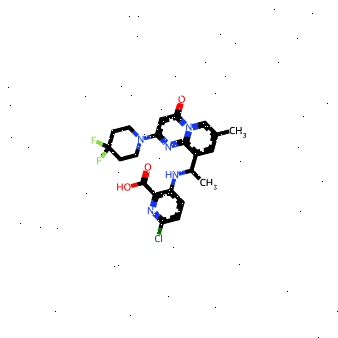 Cc1cc(C(C)Nc2ccc(Cl)nc2C(=O)O)c2nc(N3CCC(F)(F)CC3)cc(=O)n2c1